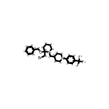 FC(F)(F)c1ccc(N2CCC(CN3CCCCC3(CBr)OCc3ccccc3)CC2)cc1